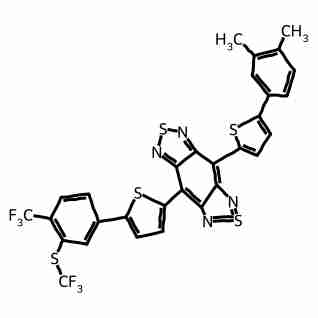 Cc1ccc(-c2ccc(-c3c4c(c(-c5ccc(-c6ccc(C(F)(F)F)c(SC(F)(F)F)c6)s5)c5nsnc35)N=S=N4)s2)cc1C